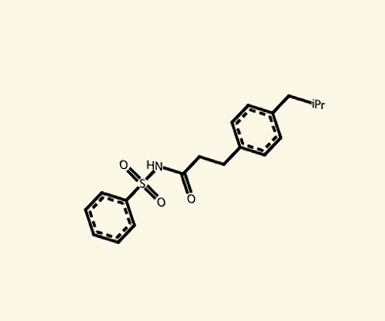 CC(C)Cc1ccc(CCC(=O)NS(=O)(=O)c2ccccc2)cc1